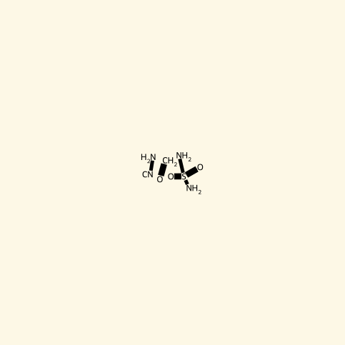 C=O.N#CN.NS(N)(=O)=O